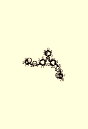 c1ccc(N(c2ccc(COCc3ccco3)cc2)c2ccc(COCc3ccco3)cc2)cc1